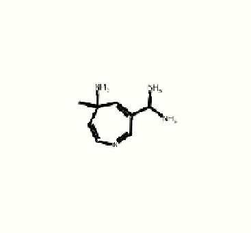 CC1(N)C=CN=CC(C(N)N)=C1